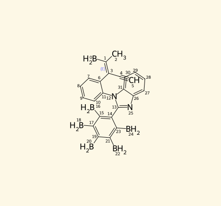 B/C(C)=C(/C#C)c1ccccc1-n1c(-c2c(B)c(B)c(B)c(B)c2B)nc2ccccc21